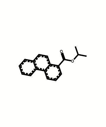 CC(C)OC(=O)c1cccc2c1ccc1ccccc12